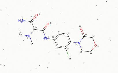 CCN(C)[C@H](C(N)=O)C(=O)Nc1ccc(N2CCOCC2=O)c(F)c1